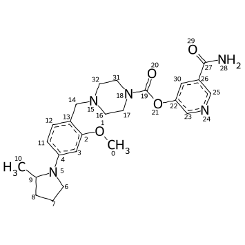 COc1cc(N2CCCC2C)ccc1CN1CCN(C(=O)Oc2cncc(C(N)=O)c2)CC1